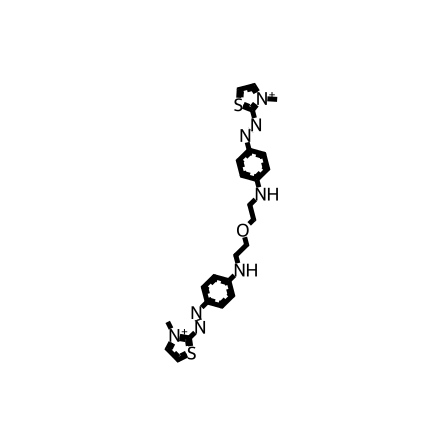 C[n+]1ccsc1/N=N/c1ccc(NCCOCCNc2ccc(/N=N/c3scc[n+]3C)cc2)cc1